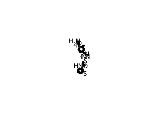 C=C1C=C(c2nnc(SCC(=O)Nc3cccc(SC)c3)n2C)C=C/C1=N/ON